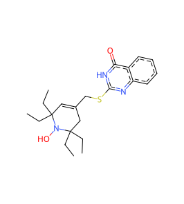 CCC1(CC)C=C(CSc2nc3ccccc3c(=O)[nH]2)CC(CC)(CC)N1O